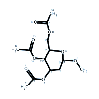 CO[C@H]1CC(OC(C)=O)[C@@H](OC(C)=O)C(COC(C)=O)O1